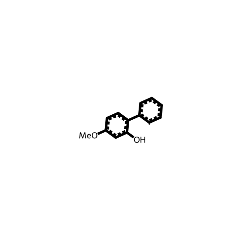 COc1ccc(-c2[c]cccc2)c(O)c1